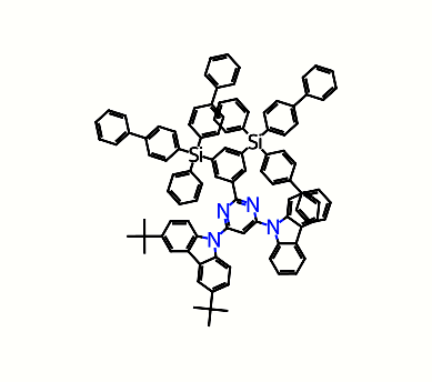 CC(C)(C)c1ccc2c(c1)c1cc(C(C)(C)C)ccc1n2-c1cc(-n2c3ccccc3c3ccccc32)nc(-c2cc([Si](c3ccccc3)(c3ccc(-c4ccccc4)cc3)c3ccc(-c4ccccc4)cc3)cc([Si](c3ccccc3)(c3ccc(-c4ccccc4)cc3)c3ccc(-c4ccccc4)cc3)c2)n1